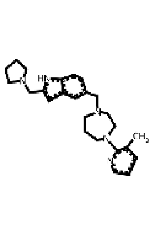 Cc1cccnc1N1CCCN(Cc2ccc3[nH]c(CN4CCCC4)cc3c2)CC1